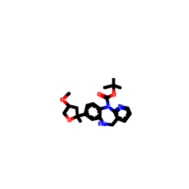 COC1COC(C)(c2ccc3c(c2)NCc2cccnc2N3C(=O)OC(C)(C)C)C1